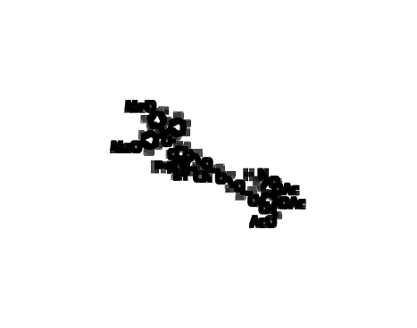 COc1ccc(C(OC[C@H](COCCOCCOCCOCCO[C@@H]2O[C@H](COC(C)=O)[C@H](OC(C)=O)[C@H](OC(C)=O)[C@H]2CC(N)=O)OP(OCCC#N)N(C(C)C)C(C)C)(c2ccccc2)c2ccc(OC)cc2)cc1